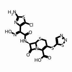 Nc1nc(C(=NO)C(=O)N[C@@H]2C(=O)N3C(C(=O)O)=C(Sc4cnns4)CSC23)c(Cl)s1